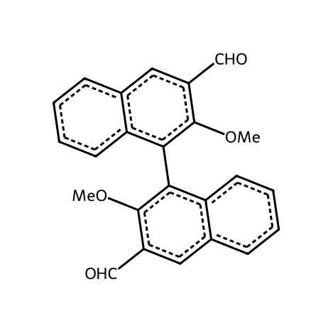 COc1c(C=O)cc2ccccc2c1-c1c(OC)c(C=O)cc2ccccc12